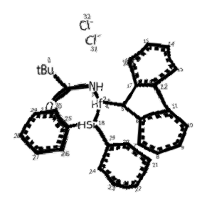 CC(C)(C)C(=O)[NH][Hf+2]([CH]1c2ccccc2-c2ccccc21)[SiH](c1ccccc1)c1ccccc1.[Cl-].[Cl-]